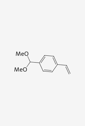 C=Cc1ccc(C(OC)OC)cc1